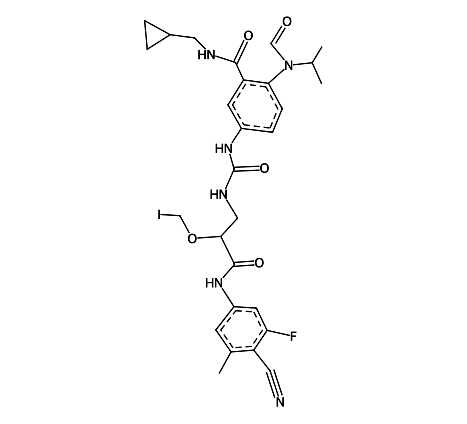 Cc1cc(NC(=O)C(CNC(=O)Nc2ccc(N(C=O)C(C)C)c(C(=O)NCC3CC3)c2)OCI)cc(F)c1C#N